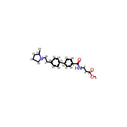 COC(=O)CCNC(=O)c1ccc(-c2ccc(CCN3CCCC3C)cc2)cc1